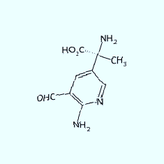 C[C@@](N)(C(=O)O)c1cnc(N)c(C=O)c1